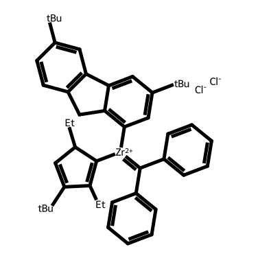 CCC1=[C]([Zr+2](=[C](c2ccccc2)c2ccccc2)[c]2cc(C(C)(C)C)cc3c2Cc2ccc(C(C)(C)C)cc2-3)C(CC)C=C1C(C)(C)C.[Cl-].[Cl-]